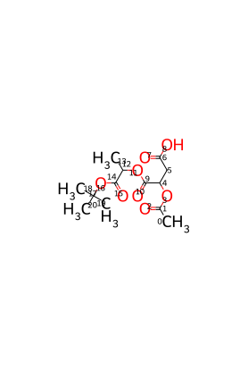 CC(=O)OC(CC(=O)O)C(=O)OC(C)C(=O)OC(C)(C)C